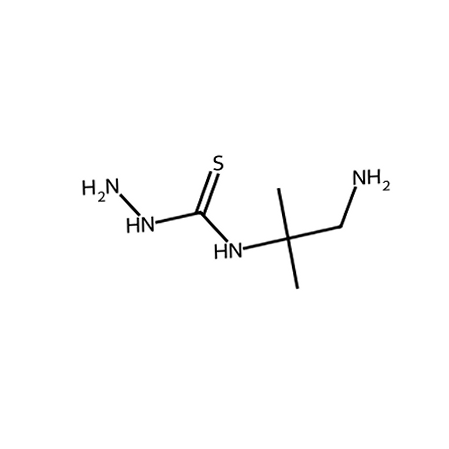 CC(C)(CN)NC(=S)NN